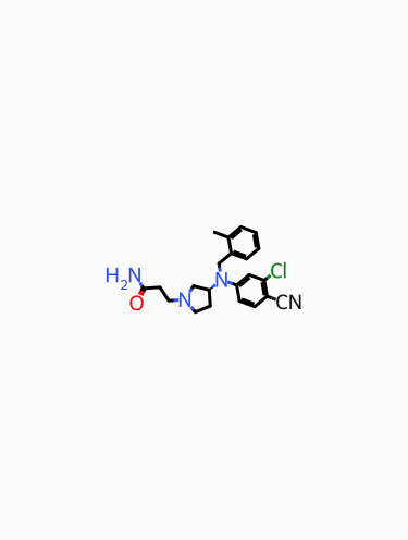 Cc1ccccc1CN(c1ccc(C#N)c(Cl)c1)[C@H]1CCN(CCC(N)=O)C1